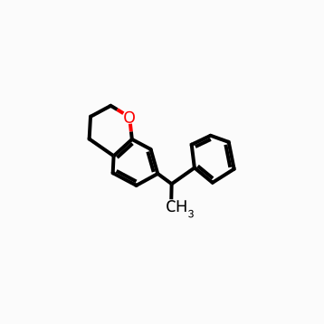 CC(c1ccccc1)c1ccc2c(c1)OCCC2